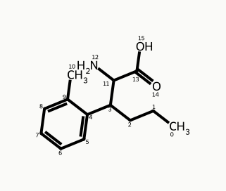 CCCC(c1ccccc1C)C(N)C(=O)O